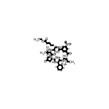 CCOC(=O)/C=C/CC[C@H](NC(=O)c1cc(C(=O)O)cc([N+](=O)[O-])c1)C(=O)N[C@H](C(=O)N1CC(=O)C[C@H]1C(=O)N[C@H](C(=O)NCCC(C)C)C1CCCCC1)C(C)(C)C